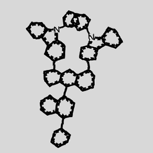 c1ccc(-c2ccc(-c3c4cccc(-c5ccc6c(c5)c5ccccc5n6-c5ccccc5)c4cc4c(-c5ccc6c(c5)c5ccccc5n6-c5ccccc5)cccc34)c3ccccc23)cc1